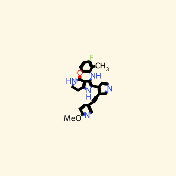 COc1ccc(C#Cc2cnccc2-c2[nH]c3c(c2Nc2cccc(F)c2C)C(=O)NCC3)cn1